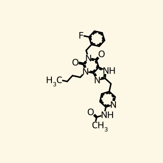 CCCCn1c(=O)n(Cc2ccccc2F)c(=O)c2[nH]c(Cc3ccc(NC(C)=O)nc3)nc21